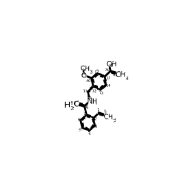 C=Cc1ccccc1C(=C)NCc1ccc(C(=C)O)cc1OC